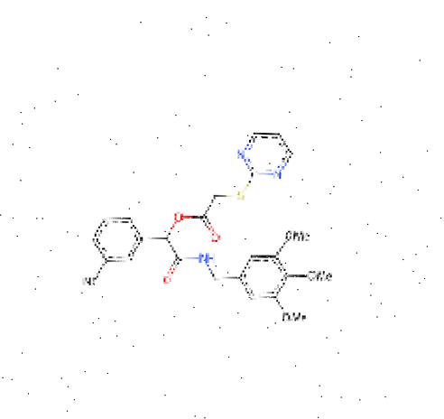 COc1cc(CNC(=O)C(OC(=O)CSc2ncccn2)c2cccc(C#N)c2)cc(OC)c1OC